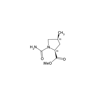 COC(=O)[C@@H]1C[C@H](C)CN1C(N)=O